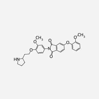 COc1cc(N2C(=O)c3ccc(Oc4ccccc4OC)cc3C2=O)ccc1OCCC1CCCN1